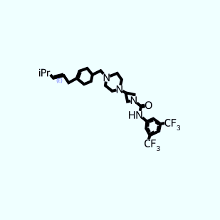 CC(C)/C=C/CC1=CCC(CN2CCN(C3CN(C(=O)Nc4cc(C(F)(F)F)cc(C(F)(F)F)c4)C3)CC2)CC1